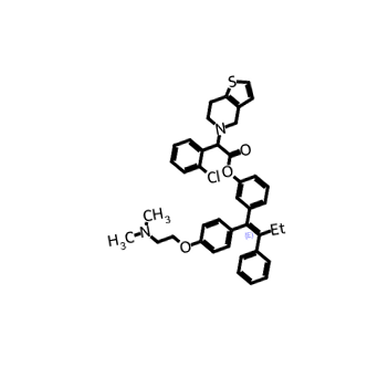 CC/C(=C(/c1ccc(OCCN(C)C)cc1)c1cccc(OC(=O)C(c2ccccc2Cl)N2CCc3sccc3C2)c1)c1ccccc1